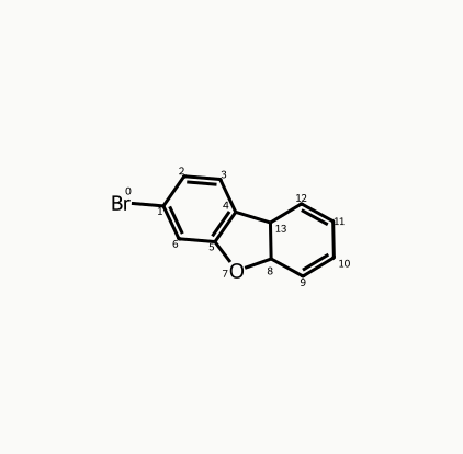 Brc1ccc2c(c1)OC1C=CC=CC21